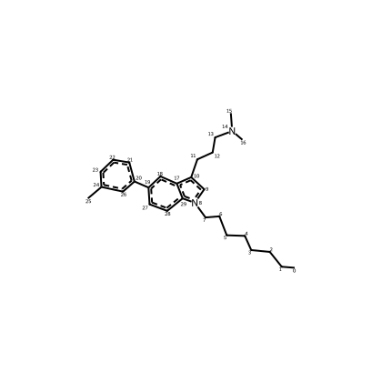 CCCCCCCCn1cc(CCCN(C)C)c2cc(-c3cccc(C)c3)ccc21